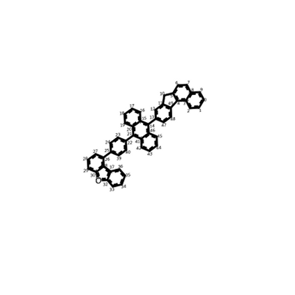 c1ccc2c3c(ccc2c1)Cc1cc(-c2c4ccccc4c(-c4ccc(-c5cccc6oc7ccccc7c56)cc4)c4ccccc24)ccc1-3